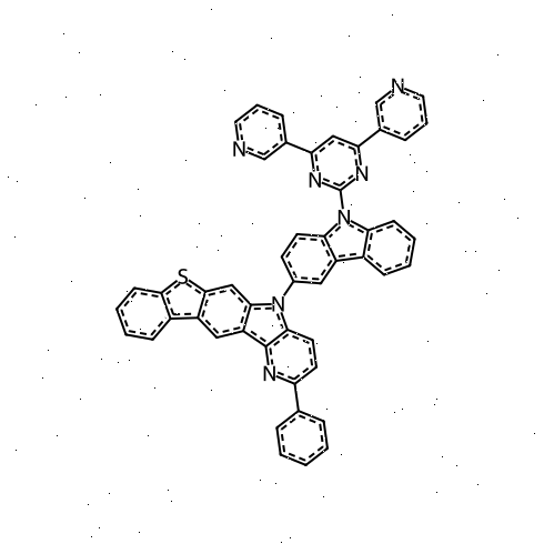 c1ccc(-c2ccc3c(n2)c2cc4c(cc2n3-c2ccc3c(c2)c2ccccc2n3-c2nc(-c3cccnc3)cc(-c3cccnc3)n2)sc2ccccc24)cc1